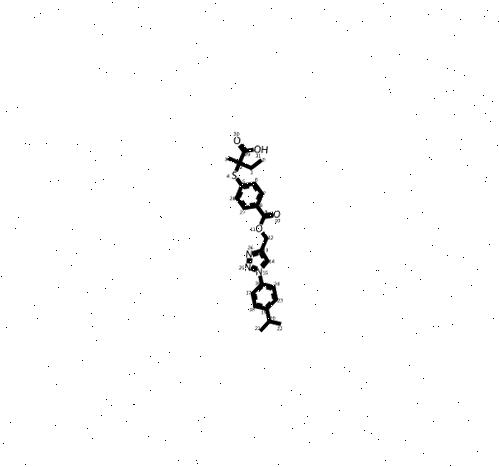 CCC(C)(Sc1ccc(C(=O)OCc2cn(-c3ccc(C(C)C)cc3)nn2)cc1)C(=O)O